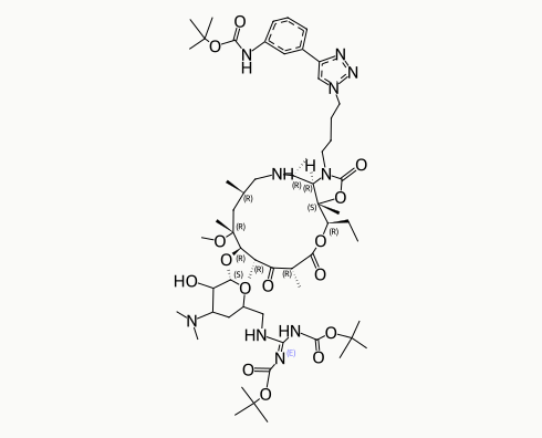 CC[C@H]1OC(=O)[C@H](C)C(=O)[C@H](C)[C@@H](O[C@@H]2OC(CN/C(=N\C(=O)OC(C)(C)C)NC(=O)OC(C)(C)C)CC(N(C)C)C2O)[C@](C)(OC)C[C@@H](C)CN[C@H](C)[C@H]2N(CCCCn3cc(-c4cccc(NC(=O)OC(C)(C)C)c4)nn3)C(=O)O[C@]12C